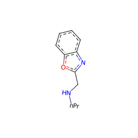 CCCNCc1nc2ccccc2o1